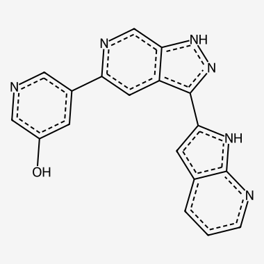 Oc1cncc(-c2cc3c(-c4cc5cccnc5[nH]4)n[nH]c3cn2)c1